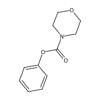 O=C(Oc1cc[c]cc1)N1CCOCC1